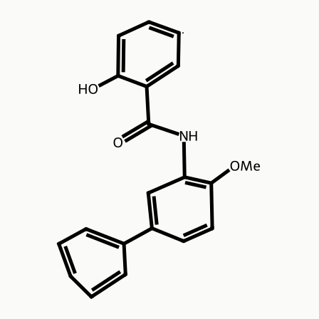 COc1ccc(-c2ccccc2)cc1NC(=O)c1c[c]ccc1O